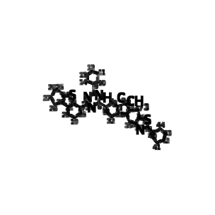 CC1(C)c2cc(-c3nc(-c4ccccc4)nc(-c4cccc5c4sc4ccccc45)n3)ccc2-c2cc3nc(-c4ccccc4)sc3cc21